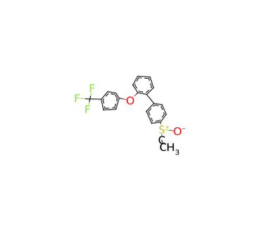 CC[S+]([O-])c1ccc(-c2ccccc2Oc2ccc(C(F)(F)F)cc2)cc1